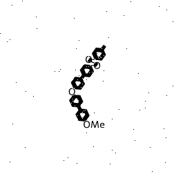 COc1ccc(-c2ccc(Oc3ccc(-c4ccc(S(=O)(=O)c5ccc(C)cc5)cc4)cc3)cc2)cc1